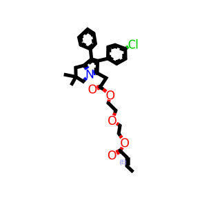 C/C=C/C(=O)OCCOCCOC(=O)Cc1c(-c2ccc(Cl)cc2)c(-c2ccccc2)c2n1CC(C)(C)C2